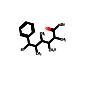 CCC(c1ccccc1)C(C)C(C)C(C(=O)O)C(C)C(=O)NC